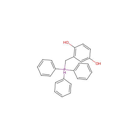 Oc1ccc(O)c(C[PH](c2ccccc2)(c2ccccc2)c2ccccc2)c1